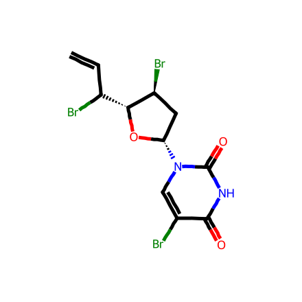 C=CC(Br)[C@H]1O[C@@H](n2cc(Br)c(=O)[nH]c2=O)C[C@@H]1Br